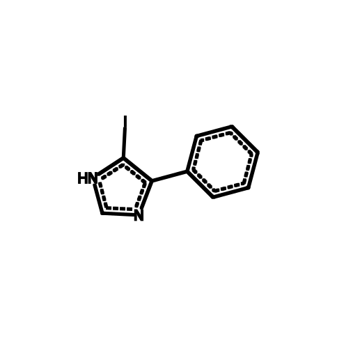 Ic1[nH]cnc1-c1ccccc1